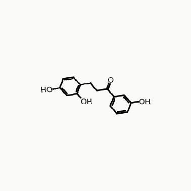 O=C(CCc1ccc(O)cc1O)c1cccc(O)c1